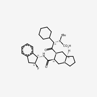 CC(C)(C)N(C(=O)O)[C@H](C(=O)N1C[C@H]2CCCN2C[C@H]1C(=O)N[C@H]1c2ccccc2C[C@@H]1F)C1CCCCC1